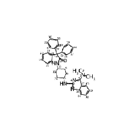 CN(C)c1nc(N[C@H]2CC[C@@H](NC(=O)C(c3ccccc3)(c3ccccc3)c3ccccc3)CC2)nc2ccccc12